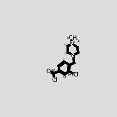 CN1CCN(Cc2ccc(C(=O)Cl)cc2Cl)CC1